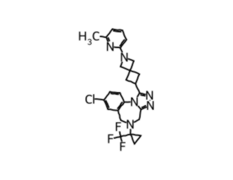 Cc1cccc(N2CC3(CC(c4nnc5n4-c4ccc(Cl)cc4CN(C4(C(F)(F)F)CC4)C5)C3)C2)n1